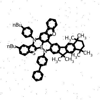 CCCCc1ccc(N2c3cc4c(oc5ccccc54)c4c3B(c3sc5ccc(CCCC)cc5c32)N(c2ccc(-c3ccccc3)cc2)c2cc3c(cc2-4)-c2cc4c(cc2C3(C)C)C(C)(C)CCC4(C)C)cc1